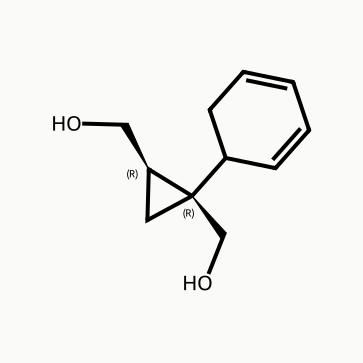 OC[C@@H]1C[C@@]1(CO)C1C=CC=CC1